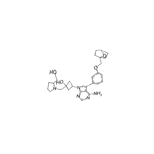 Nc1ncnc2c1c(-c1cccc(OCC34CCC(CC3)O4)c1)cn2C1CC(O)(CN2CCCC2CO)C1